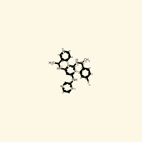 CC(Nc1cc(Nc2cnccn2)nc(N[C@@H](C)c2ccc(F)cc2)n1)c1cccnc1